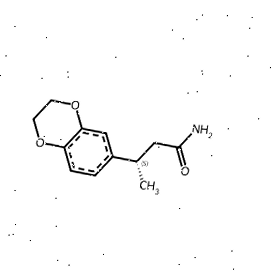 C[C@@H](CC(N)=O)c1ccc2c(c1)OCCO2